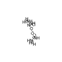 Clc1[nH]c([C@@H]2C[C@H]3C[C@H]3N2)nc1-c1ccc(-c2ccc3c(ccc4[nH]c([C@@H]5C[C@H]6C[C@H]6N5)cc43)c2)cc1